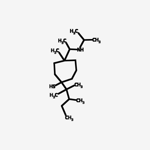 CCC(C)C(C)(C)C1(S)CCCC(C)(C(C)NC(C)C)CC1